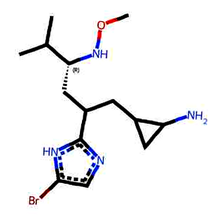 CON[C@H](CC(CC1CC1N)c1ncc(Br)[nH]1)C(C)C